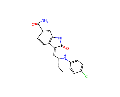 CCC(C=C1C(=O)Nc2cc(C(N)=O)ccc21)Nc1ccc(Cl)cc1